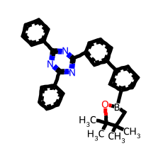 CC1(C)CB(c2cccc(-c3cccc(-c4nc(-c5ccccc5)nc(-c5ccccc5)n4)c3)c2)OC1(C)C